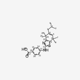 CC(C)CC1=CC(C)(C)c2sc(Nc3ccc(C(=O)O)cc3)nc2C1(C)C